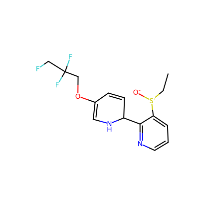 CC[S+]([O-])c1cccnc1C1C=CC(OCC(F)(F)CF)=CN1